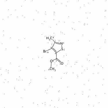 COC(=O)c1snc(C)c1Br